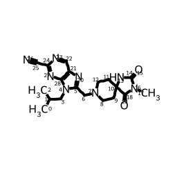 CC(C)Cn1c(CN2CCC3(CC2)NC(=O)N(C)C3=O)nc2cnc(C#N)nc21